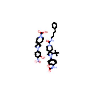 CC(C)(C)C1N(c2ccc3[nH]c(=O)oc3c2)CC12CCN(C(=O)NCCCCc1ccccc1)CC2.O=C(O)N1CCC2(CC1)CN(c1ccc([N+](=O)[O-])c(O)c1)C2